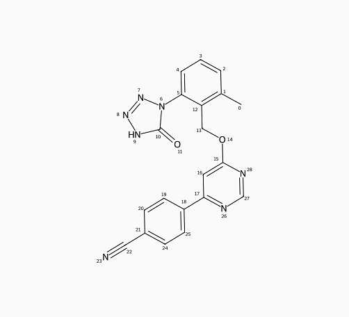 Cc1cccc(-n2nn[nH]c2=O)c1COc1cc(-c2ccc(C#N)cc2)ncn1